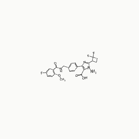 COc1ccc(F)cc1C(=O)NCc1ccc(-c2nc(C3CCC3(F)F)n(N)c2C(=O)O)cc1